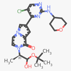 C[C@H](C(O)OC(C)(C)C)n1ccn2cc(-c3nc(NC4CCOCC4)ncc3Cl)cc2c1=O